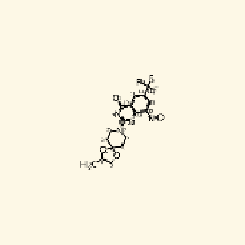 C[C@@H]1COC2(CCN(c3nc(=O)c4cc(C(F)(F)F)cc(N=O)c4s3)CC2)O1